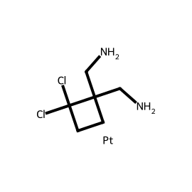 NCC1(CN)CCC1(Cl)Cl.[Pt]